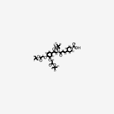 CC(C)(C)OC(=O)COc1ccc(C(=CNC(=O)C=CC2CCN(C(=O)O)CC2)O[Si](C)(C)C(C)(C)C)cc1OCC(=O)OC(C)(C)C